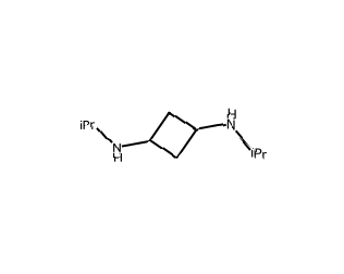 CC(C)NC1CC(NC(C)C)C1